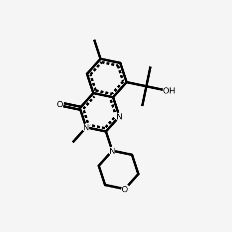 Cc1cc(C(C)(C)O)c2nc(N3CCOCC3)n(C)c(=O)c2c1